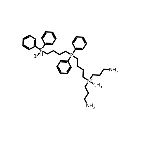 C[N+](CCCN)(CCCN)CCCC[P+](CCCC[PH](Br)(c1ccccc1)c1ccccc1)(c1ccccc1)c1ccccc1